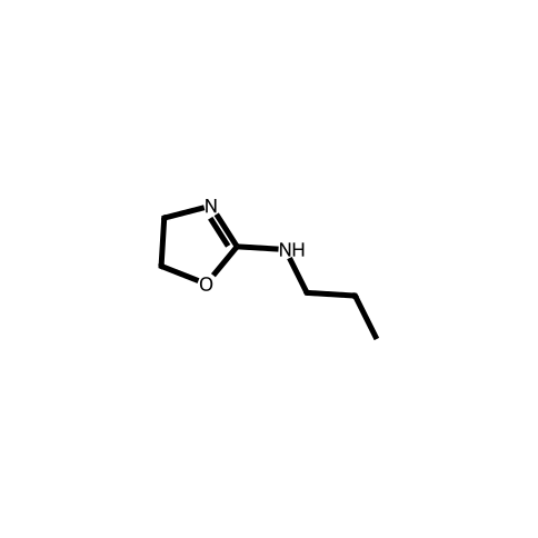 CCCNC1=NCCO1